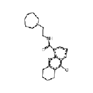 O=C(NCCN1CCCCCC1)c1cccc2c(Cl)c3c(nc12)CCCC3